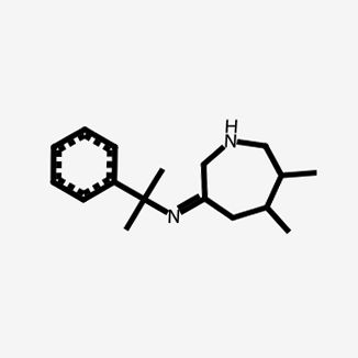 CC1CNC/C(=N\C(C)(C)c2ccccc2)CC1C